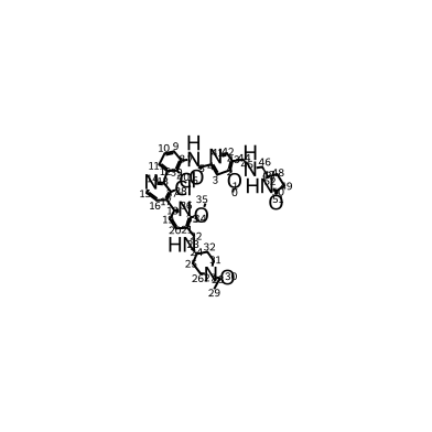 COc1cc(C(=O)Nc2cccc(-c3nccc(-c4ccc(CNC5CCN(C(C)=O)CC5)c(OC)n4)c3Cl)c2Cl)ncc1CNC[C@H]1CCC(=O)N1